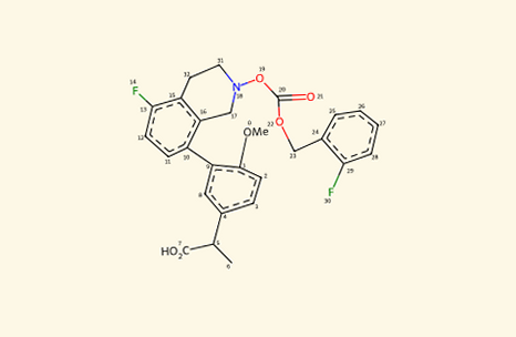 COc1ccc(C(C)C(=O)O)cc1-c1ccc(F)c2c1CN(OC(=O)OCc1ccccc1F)CC2